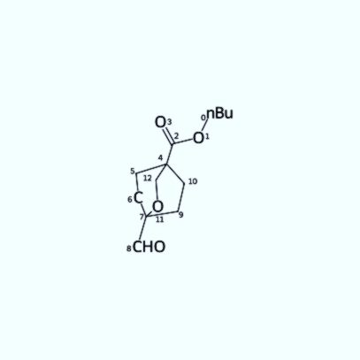 CCCCOC(=O)C12CCC(C=O)(CC1)OC2